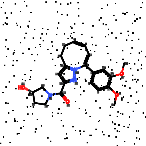 COc1ccc(/C2=C/C=C\CCc3cc(C(=O)N4CC[C@H](O)C4)nn32)cc1OC